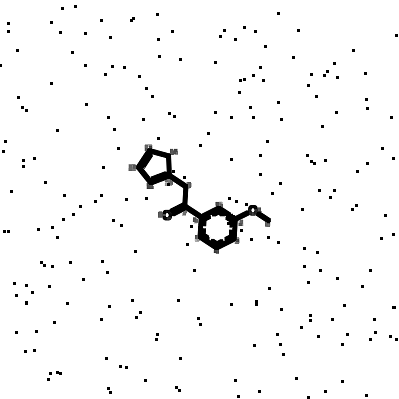 COc1cccc(C(=O)CC2=CC=CC2)c1